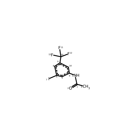 CC(=O)Nc1cc(I)cc(C(F)(F)F)c1